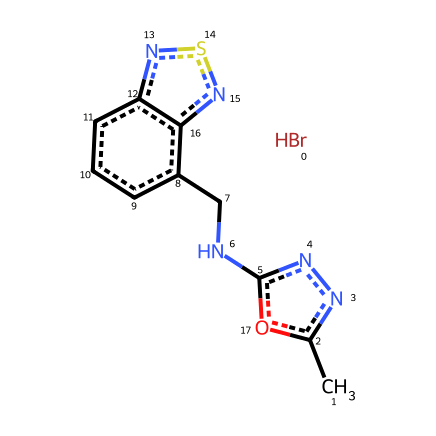 Br.Cc1nnc(NCc2cccc3nsnc23)o1